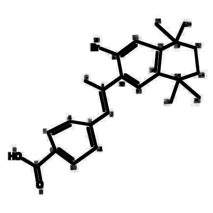 CC(=Cc1ccc(C(=O)O)cc1)c1cc2c(cc1Br)C(C)(C)CCC2(C)C